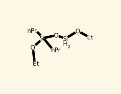 CCC[Si](CCC)(OCC)O[SiH2]OCC